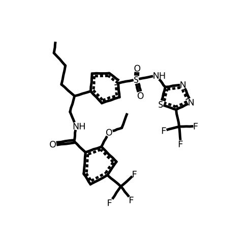 CCCCC(CNC(=O)c1ccc(C(F)(F)F)cc1OCC)c1ccc(S(=O)(=O)Nc2nnc(C(F)(F)F)s2)cc1